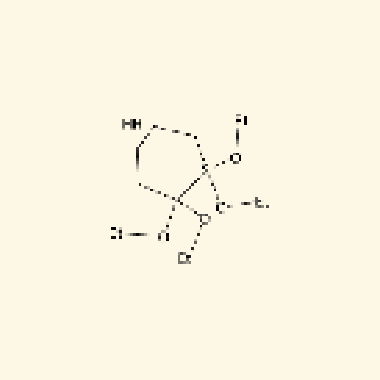 CCOC1(OCC)CCCC[Si]1(OCC)OCC.[HH]